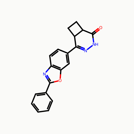 O=C1NN=C(c2ccc3nc(-c4ccccc4)oc3c2)C2CCC12